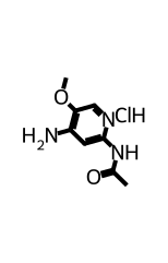 COc1cnc(NC(C)=O)cc1N.Cl